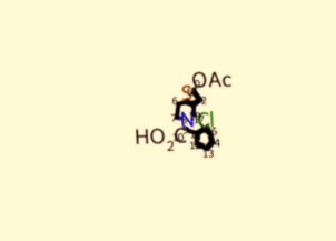 CC(=O)Oc1cc2c(s1)CCN(C(C(=O)O)c1ccccc1Cl)C2